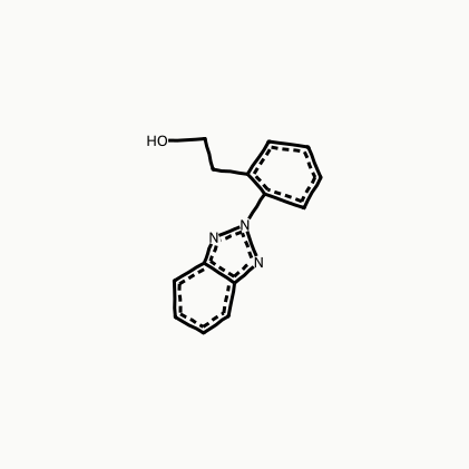 OCCc1ccccc1-n1nc2ccccc2n1